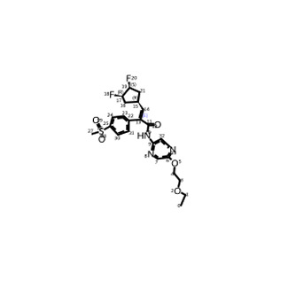 CCOCCOc1cnc(NC(=O)/C(=C/[C@H]2C[C@@H](F)[C@@H](F)C2)c2ccc(S(C)(=O)=O)cc2)cn1